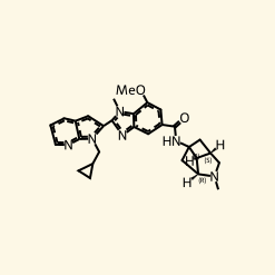 COc1cc(C(=O)NC23C[C@@H]4CN(C)[C@H](C2)[C@@H]43)cc2nc(-c3cc4cccnc4n3CC3CC3)n(C)c12